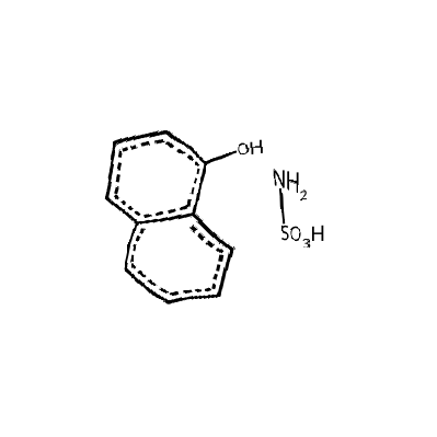 NS(=O)(=O)O.Oc1cccc2ccccc12